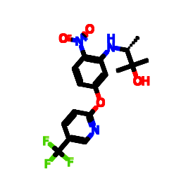 C[C@@H](Nc1cc(Oc2ccc(C(F)(F)F)cn2)ccc1[N+](=O)[O-])C(C)(C)O